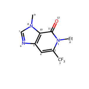 CCn1c(C(F)(F)F)cc2ncn(C)c2c1=O